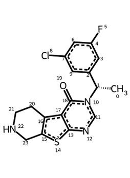 C[C@@H](c1cc(F)cc(Cl)c1)n1cnc2sc3c(c2c1=O)CCNC3